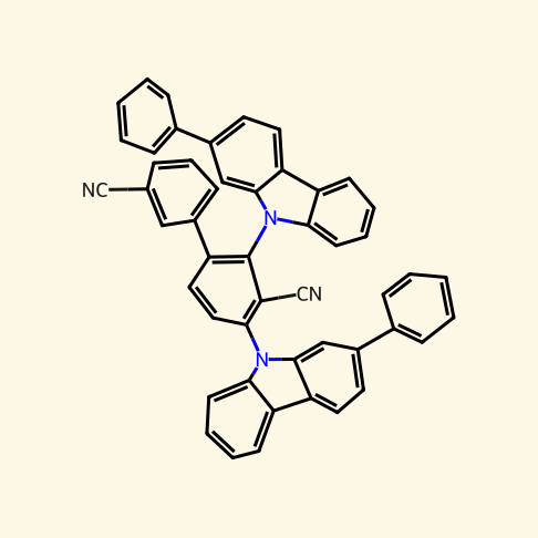 N#Cc1cccc(-c2ccc(-n3c4ccccc4c4ccc(-c5ccccc5)cc43)c(C#N)c2-n2c3ccccc3c3ccc(-c4ccccc4)cc32)c1